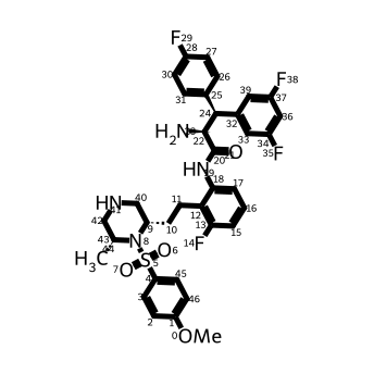 COc1ccc(S(=O)(=O)N2[C@@H](CCc3c(F)cccc3NC(=O)[C@@H](N)[C@@H](c3ccc(F)cc3)c3cc(F)cc(F)c3)CNC[C@H]2C)cc1